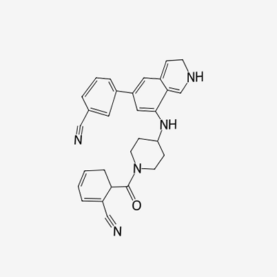 N#CC1=CC=CCC1C(=O)N1CCC(Nc2cc(-c3cccc(C#N)c3)cc3c2=CNCC=3)CC1